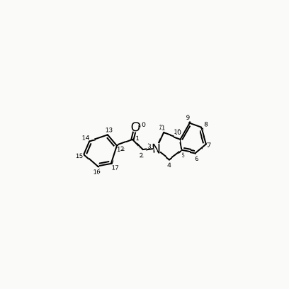 O=C(CN1Cc2ccccc2C1)c1ccccc1